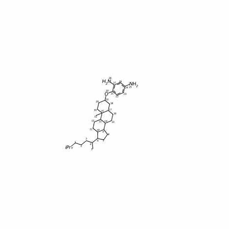 CC(C)CCCC(C)C1CCC2C1CCC1C2CCC2CC(Oc3ccc(N)cc3N)CCC21C